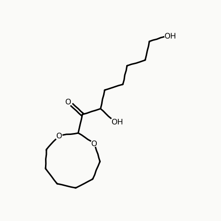 O=C(C(O)CCCCCO)C1OCCCCCCO1